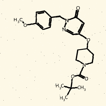 COc1ccc(Cn2ncc(OC3CCN(C(=O)OC(C)(C)C)CC3)cc2=O)cc1